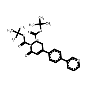 CC(C)(C)OC(=O)[C@H]1CC(c2ccc(-c3cccnc3)cc2)=CC(=O)N1C(=O)OC(C)(C)C